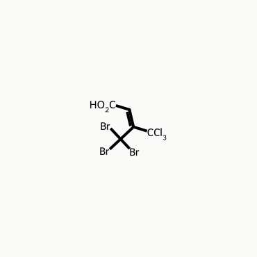 O=C(O)C=C(C(Cl)(Cl)Cl)C(Br)(Br)Br